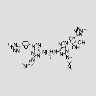 CCn1nnc([C@@H]2CC[C@H](n3cnc4c(NCC(C)(C)CNc5nc(N6CC[C@@H](N(C)C)C6)nc6c5ncn6[C@@H]5O[C@H](c6nnn(CC)n6)[C@@H](O)[C@H]5O)nc(N5CC[C@@H](N(C)C)C5)nc43)O2)n1